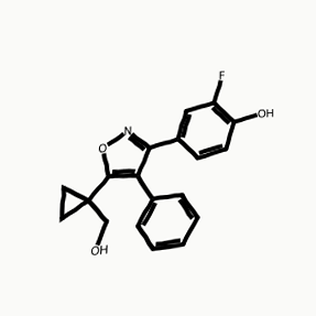 OCC1(c2onc(-c3ccc(O)c(F)c3)c2-c2ccccc2)CC1